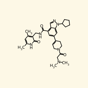 Cc1cc(C)c(CNC(=O)c2cc(C3=CCN(C(=O)CN(C)C)CC3)cc3c2cnn3C2CCCC2)c(=O)[nH]1